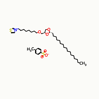 CCCCCCCCCCCCCCCCC[C@H]1OC[C@H](COCCCCCCCC[n+]2ccsc2)O1.Cc1ccc(S(=O)(=O)[O-])cc1